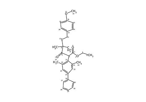 CCOC(=O)C(C(=O)C(C)(C)SCc1ccc(OC)cc1)c1c(C)cc(-c2ccccc2)cc1C